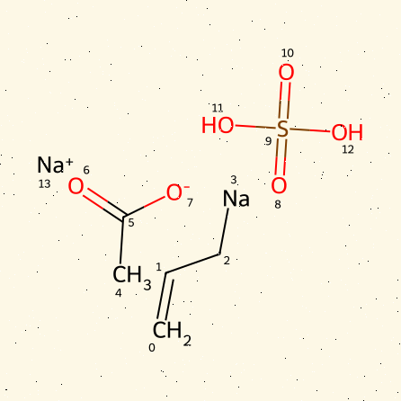 C=C[CH2][Na].CC(=O)[O-].O=S(=O)(O)O.[Na+]